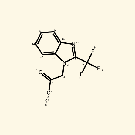 O=C([O-])Cn1c(C(F)(F)F)nc2ccccc21.[K+]